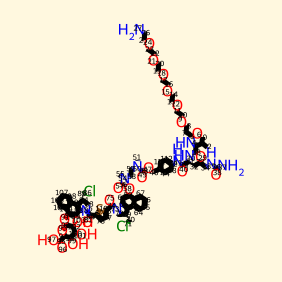 CC(C)[C@H](NC(=O)CCOCCOCCOCCOCCOCCOCCN)C(=O)N[C@@H](CCCNC(N)=O)C(=O)Nc1ccc(COC(=O)N(C)CCN(C)C(=O)Oc2cc3c(c4ccccc24)[C@H](CCl)CN3C(=O)c2ccc(C(=O)N3C[C@@H](CCl)c4c3cc(O[C@@H]3OC(C(=O)O)[C@@H](O)C(O)[C@@H]3O)c3ccccc43)s2)cc1